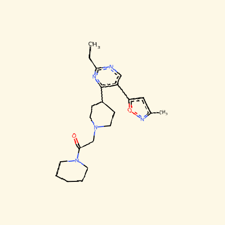 CCc1ncc(-c2cc(C)no2)c(C2CCN(CC(=O)N3CCCCC3)CC2)n1